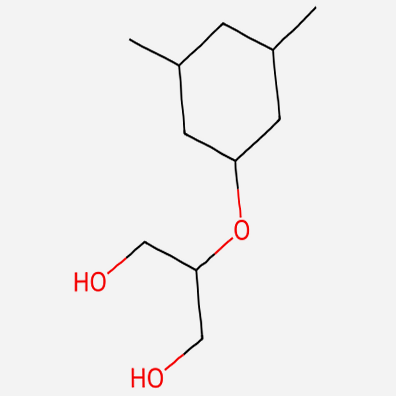 CC1CC(C)CC(OC(CO)CO)C1